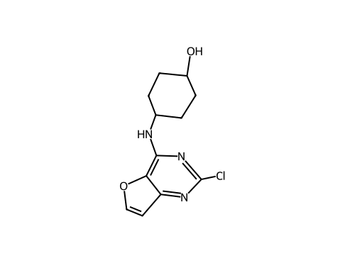 OC1CCC(Nc2nc(Cl)nc3ccoc23)CC1